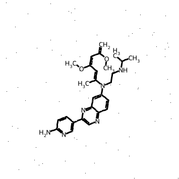 C=C(/C=C(\C=C(/C)N(CCNC(C)C)c1ccc2ncc(-c3ccc(N)nc3)nc2c1)OC)OC